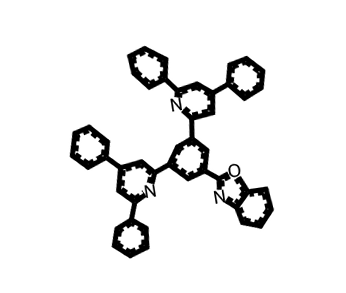 c1ccc(-c2cc(-c3ccccc3)nc(-c3cc(-c4cc(-c5ccccc5)cc(-c5ccccc5)n4)cc(-c4nc5ccccc5o4)c3)c2)cc1